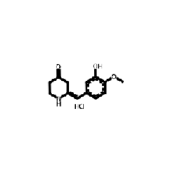 COc1ccc(C=C2CC(=O)CCN2)cc1O.Cl